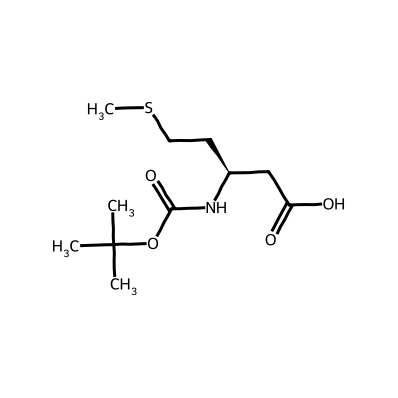 CSCC[C@@H](CC(=O)O)NC(=O)OC(C)(C)C